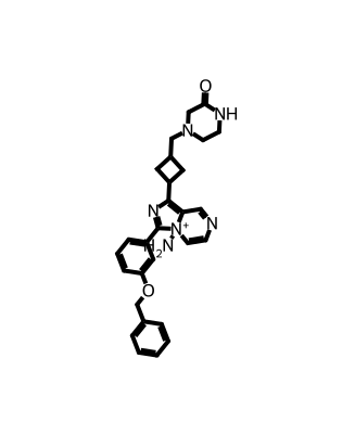 N[N+]12C=CN=CC1=C(C1CC(CN3CCNC(=O)C3)C1)N=C2c1cccc(OCc2ccccc2)c1